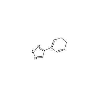 C1=CC(c2cnon2)=CCC1